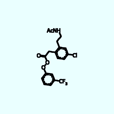 CC(=O)NCCc1cc(Cl)ccc1CC(=O)OOc1cccc(C(F)(F)F)c1